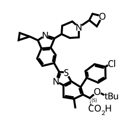 Cc1cc2nc(-c3ccc4c(c3)C(C3CCN(C5COC5)CC3)=NC4C3CC3)sc2c(-c2ccc(Cl)cc2)c1[C@H](OC(C)(C)C)C(=O)O